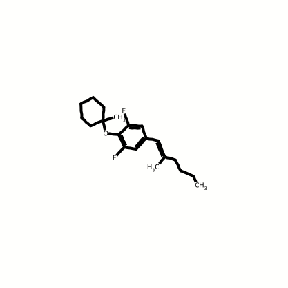 CCCC/C(C)=C/c1cc(F)c(OC2(C)CCCCC2)c(F)c1